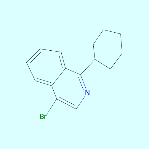 Brc1cnc(C2CCCCC2)c2ccccc12